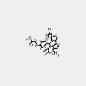 Cc1cscc1C(=C(c1ccc(C=CC(=O)O)cc1)c1cccc2[nH]ncc12)C1CCC1